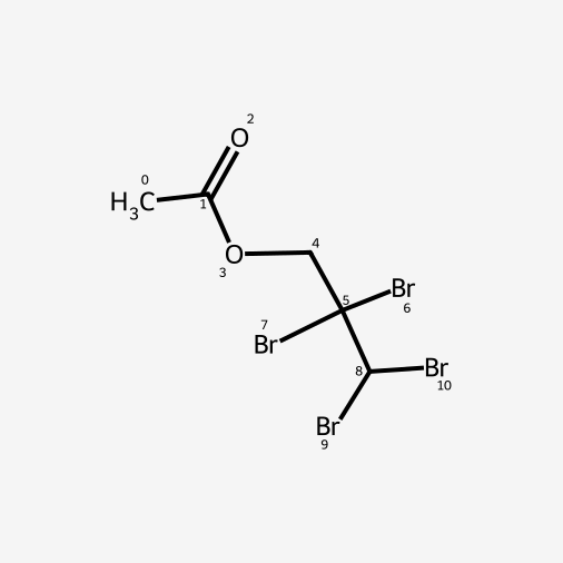 CC(=O)OCC(Br)(Br)C(Br)Br